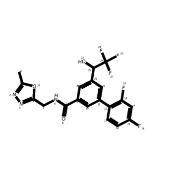 Cc1nnc(CNC(=O)c2cc(-c3ccc(F)cc3F)cc(C(O)C(F)(F)F)c2)o1